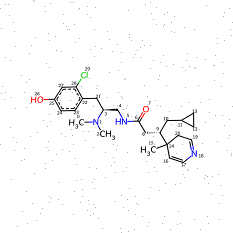 CN(C)[C@H](CNC(=O)C[C@H](CC1CC1)C1(C)C=CN=CC1)Cc1ccc(O)cc1Cl